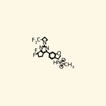 CS(=O)(=O)N[C@H]1COc2cc(-c3nc(N4CC[C@@H]4C(F)(F)F)nc4c3CCC4(F)F)ccc21